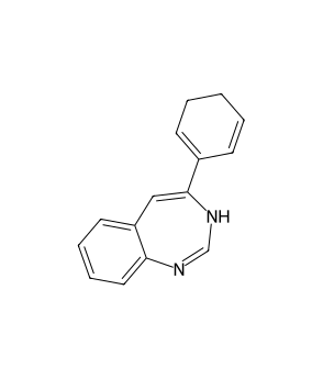 C1=CC(C2=Cc3ccccc3N=CN2)=CCC1